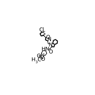 CS(=O)(=O)N1CCC(NC(=O)c2cc3ccccc3n2Cc2cc(-c3ccc(Cl)s3)on2)CC1